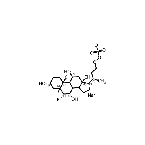 CC[C@H]1[C@@H](O)C2C3CC[C@H]([C@H](C)CCOOS(=O)(=O)[O-])[C@@]3(C)C[C@H](O)C2[C@@]2(C)CC[C@@H](O)C[C@@H]12.[Na+]